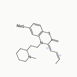 C=C1Sc2ccc(SC)cc2N(CCC2CCCCN2C)/C1=C/C=C\C